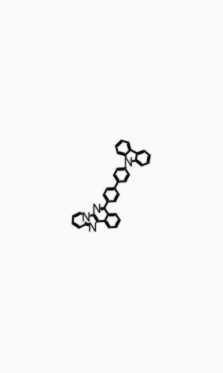 c1ccc2c(c1)c(-c1ccc(-c3ccc(-n4c5ccccc5c5ccccc54)cc3)cc1)nc1c2nc2ccccn21